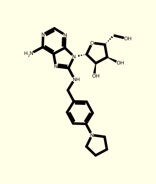 Nc1ncnc2c1nc(NCc1ccc(N3CCCC3)cc1)n2[C@@H]1O[C@H](CO)[C@@H](O)[C@H]1O